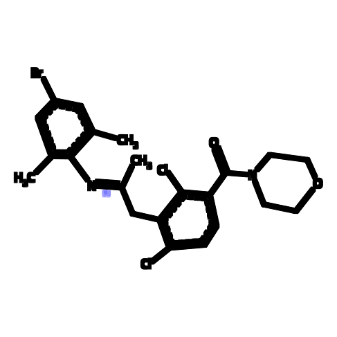 C/C(Cc1c(Cl)ccc(C(=O)N2CCOCC2)c1Cl)=N\c1c(C)cc(Br)cc1C